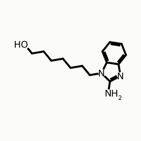 Nc1nc2ccccc2n1CCCCCCCO